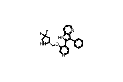 FC1(F)CN[C@H](COc2cnccc2-c2[nH]c3cccnc3c2-c2ccccc2)C1